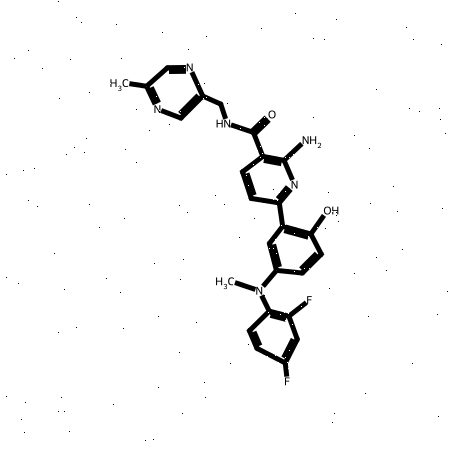 Cc1cnc(CNC(=O)c2ccc(-c3cc(N(C)c4ccc(F)cc4F)ccc3O)nc2N)cn1